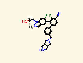 CC(C)(O)Cn1ncc2cc(-c3c(-c4cccc(CN5CC6CNCC6C5)c4)ccc(C#N)c3F)c(F)cc21